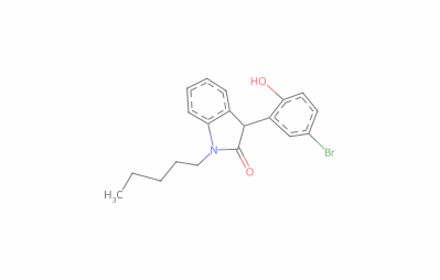 CCCCCN1C(=O)C(c2cc(Br)ccc2O)c2ccccc21